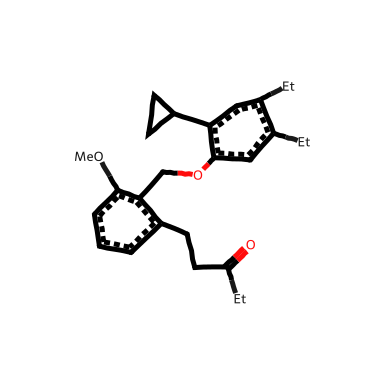 CCC(=O)CCc1cccc(OC)c1COc1cc(CC)c(CC)cc1C1CC1